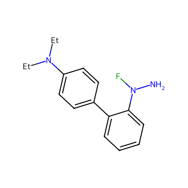 CCN(CC)c1ccc(-c2ccccc2N(N)F)cc1